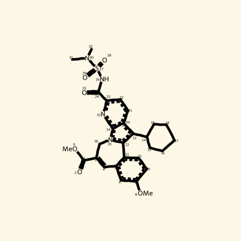 COC(=O)C1=Cc2cc(OC)ccc2-c2c(C3CCCCC3)c3ccc(C(=O)NS(=O)(=O)N(C)C)nc3n2C1